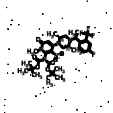 CC(c1ccc(F)cc1C(F)(F)F)N1C[C@H](C)N(c2cc(=O)n(C)c(N(C(=O)OC(C)(C)C)C(=O)OC(C)(C)C)c2[N+](=O)[O-])C[C@H]1C